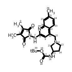 CC1=C(C)C(=O)N(Nc2cc(CN3CCC(NC(=O)OC(C)(C)C)C3)c3ccc(C)cc3n2)C1=O